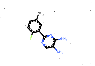 Nc1cnc(-c2cc([N+](=O)[O-])ccc2F)nc1N